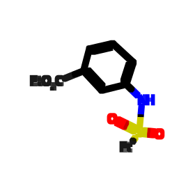 CCOC(=O)c1cccc(NS(=O)(=O)CC)c1